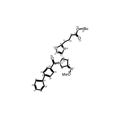 CON=C1C[C@@H](c2noc(CCCC(=O)OC(C)(C)C)n2)N(C(=O)c2ccc(-c3ccccc3)cc2)C1